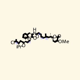 COC1=CC[C@@H]([C@@H](C)/C=C(C)/C=C\C=C/C(=O)N[C@@H](Cc2ccccc2)C(=O)N/C=C\C[C@H](C/C=C(\C)Cl)OC(C)C)OC1=O